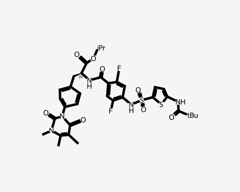 Cc1c(C)n(C)c(=O)n(-c2ccc(C[C@H](NC(=O)c3cc(F)c(NS(=O)(=O)c4ccc(NC(=O)C(C)(C)C)s4)cc3F)C(=O)OC(C)C)cc2)c1=O